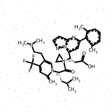 C=C1C=C(C(F)(F)F)C(CCN(C)C)=CN1[C@@H](CC(C)C)C(=O)[N+]1([C@@H](CC(=O)O)c2cc(-c3c(C)cccc3C)nc3ccnn23)CC1